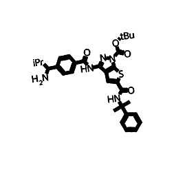 CC(C)C(N)c1ccc(C(=O)Nc2nn(C(=O)OC(C)(C)C)c3sc(C(=O)NC(C)(C)c4ccccc4)cc23)cc1